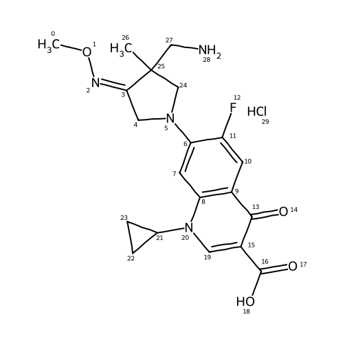 CON=C1CN(c2cc3c(cc2F)c(=O)c(C(=O)O)cn3C2CC2)CC1(C)CN.Cl